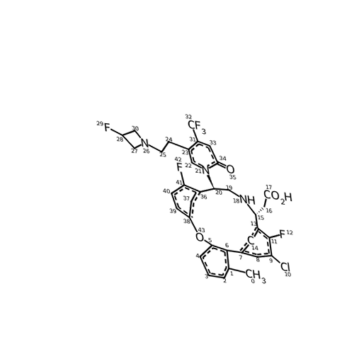 Cc1cccc2c1-c1cc(Cl)c(F)c(c1)[C@@H](CC(=O)O)NC[C@H](n1cc(CCN3CC(F)C3)c(C(F)(F)F)cc1=O)c1cc(ccc1F)O2